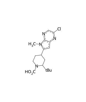 Cn1c(C2CCN(C(=O)O)C(C(C)(C)C)C2)cc2nc(Cl)cnc21